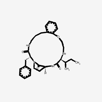 CCC(C)[C@@H]1NCCOc2ccccc2CCCNC(=O)[C@@H](Cc2ccccc2)N2CC[C@H](NC1=O)C2=O